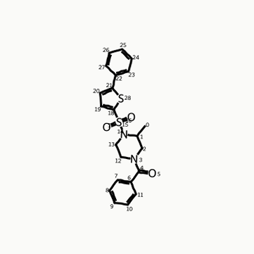 CC1CN(C(=O)c2ccccc2)CCN1S(=O)(=O)c1ccc(-c2ccccc2)s1